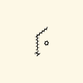 C1CCCCC1.C=C(C)C(=O)OCCCCCCCC/C=C\CCCCCCCC